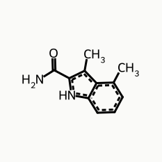 Cc1cccc2[nH]c(C(N)=O)c(C)c12